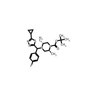 C[C@@H]1CN(C(=O)OC(C)(C)C)[C@@H](C)CN1C(c1ccc(F)cc1)c1nnc(C2CC2)s1